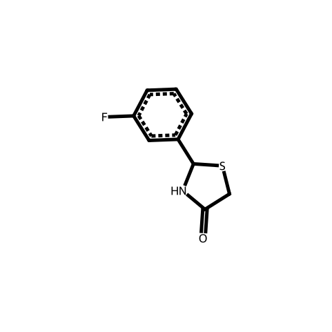 O=C1CSC(c2cccc(F)c2)N1